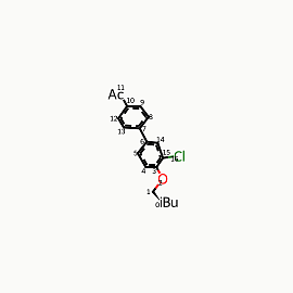 CC[C@H](C)COc1ccc(-c2ccc(C(C)=O)cc2)cc1Cl